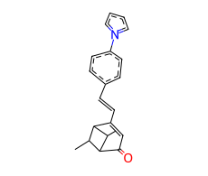 CC1C2C(=O)C=C(C=Cc3ccc(-n4cccc4)cc3)C1C2C